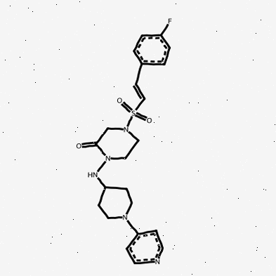 O=C1CN(S(=O)(=O)C=Cc2ccc(F)cc2)CCN1NC1CCN(c2ccncc2)CC1